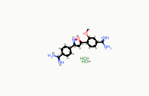 COc1cc(C(=N)N)ccc1-c1cc(-c2ccc(C(=N)N)cc2)no1.Cl.Cl